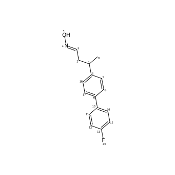 CC(CC=NO)c1ccc(-c2ccc(F)cc2)cc1